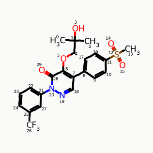 CC(C)(O)COc1c(-c2ccc(S(C)(=O)=O)cc2)cnn(-c2cccc(C(F)(F)F)c2)c1=O